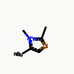 CCCCc1csc(C)[n+]1C